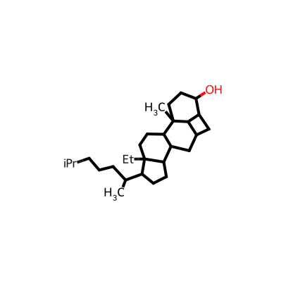 CCC12CCC3C(CC4CC5C(O)CCC3(C)C45)C1CCC2C(C)CCCC(C)C